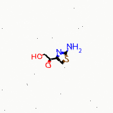 Nc1nc(C(=O)CO)cs1